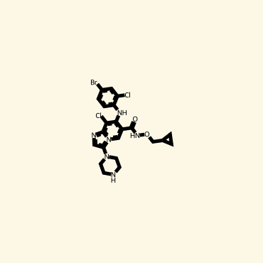 O=C(NOCC1CC1)c1cn2c(N3CCNCC3)cnc2c(Cl)c1Nc1ccc(Br)cc1Cl